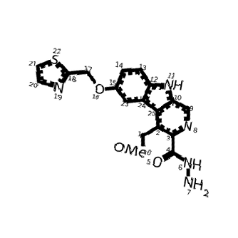 COCc1c(C(=O)NN)ncc2[nH]c3ccc(OCc4nccs4)cc3c12